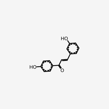 O=C(/C=C/c1cccc(O)c1)c1ccc(O)cc1